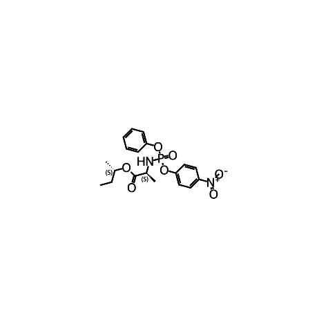 CC[C@H](C)OC(=O)[C@H](C)NP(=O)(Oc1ccccc1)Oc1ccc([N+](=O)[O-])cc1